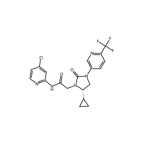 O=C(CN1C(=O)N(c2ccc(C(F)(F)F)nc2)C[C@@H]1C1CC1)Nc1cc(Cl)ccn1